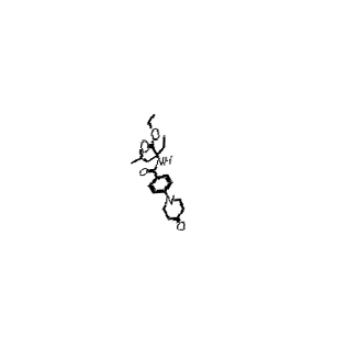 CCOC(=O)C(CC)(CC(C)C)NC(=O)c1ccc(N2CCC(=O)CC2)cc1